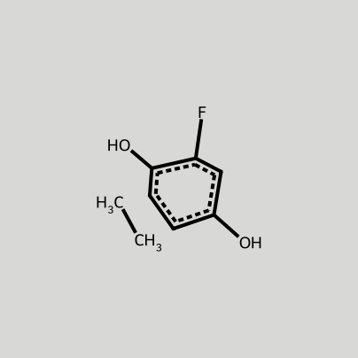 CC.Oc1ccc(O)c(F)c1